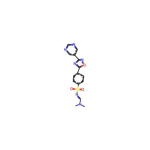 CN(C)/C=N/S(=O)(=O)c1ccc(-c2nc(-c3cncnc3)no2)cc1